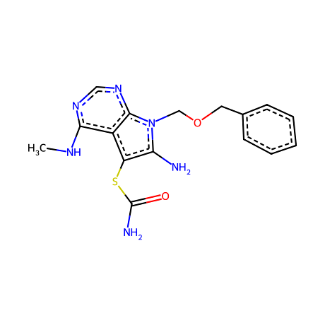 CNc1ncnc2c1c(SC(N)=O)c(N)n2COCc1ccccc1